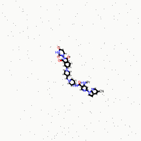 CC(C)Nc1cc(-n2ccc3cc(C#N)cnc32)ncc1C(=O)NC1CCN(CC2CCN(c3ccc4c(c3)C(=O)N(N3CCC(=O)NC3=O)C4=O)CC2)CC1